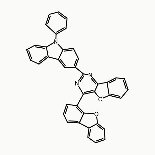 c1ccc(-n2c3ccccc3c3cc(-c4nc(-c5cccc6c5oc5ccccc56)c5oc6ccccc6c5n4)ccc32)cc1